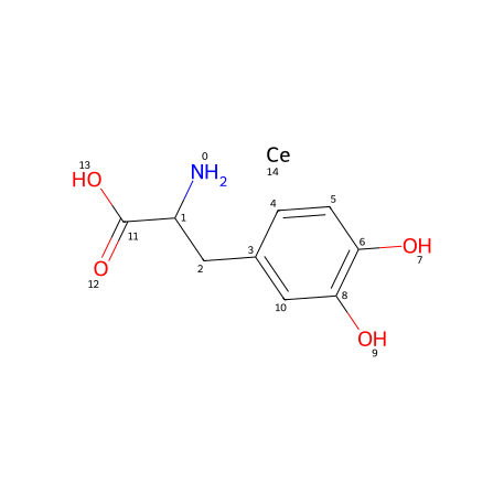 NC(Cc1ccc(O)c(O)c1)C(=O)O.[Ce]